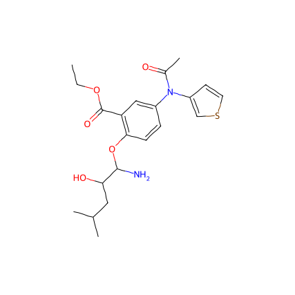 CCOC(=O)c1cc(N(C(C)=O)c2ccsc2)ccc1OC(N)C(O)CC(C)C